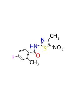 Cc1cc(I)ccc1C(=O)Nc1nc(C)c([N+](=O)[O-])s1